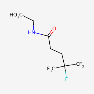 O=C(O)CNC(=O)CCC(F)(C(F)(F)F)C(F)(F)F